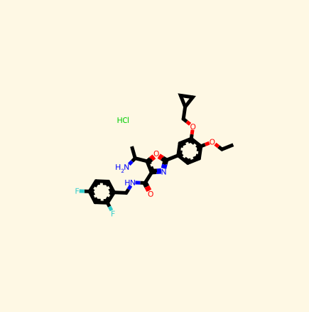 CCOc1ccc(-c2nc(C(=O)NCc3ccc(F)cc3F)c(C(C)N)o2)cc1OCC1CC1.Cl